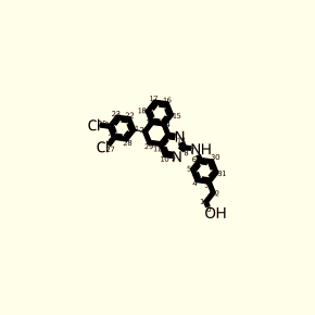 OCCc1ccc(Nc2ncc3c(n2)-c2ccccc2[C@@H](c2ccc(Cl)c(Cl)c2)C3)cc1